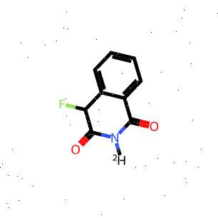 [2H]N1C(=O)c2ccccc2C(F)C1=O